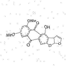 COc1cc(OC)c2c(c1)C(=O)c1cc3c(c(O)c1C2=O)C1C=COC1O3